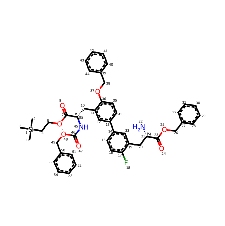 C[Si](C)(C)CCOC(=O)[C@H](Cc1cc(-c2ccc(F)c(C[C@H](N)C(=O)OCc3ccccc3)c2)ccc1OCc1ccccc1)NC(=O)OCc1ccccc1